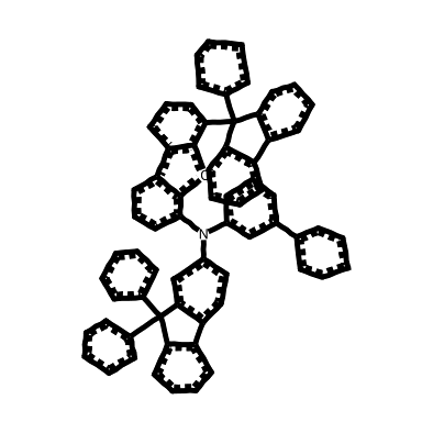 c1ccc(-c2cccc(N(c3ccc4c(c3)C(c3ccccc3)(c3ccccc3)c3ccccc3-4)c3cccc4c3oc3c(C5(c6ccccc6)c6ccccc6-c6ccccc65)cccc34)c2)cc1